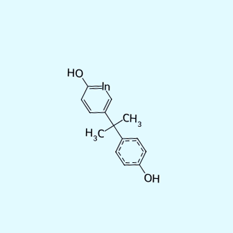 CC(C)(C1=[CH][In]=[C](O)C=C1)c1ccc(O)cc1